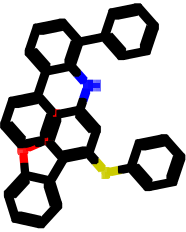 c1ccc(Sc2cc(Nc3c(-c4ccccc4)cccc3-c3ccccc3)cc3oc4ccccc4c23)cc1